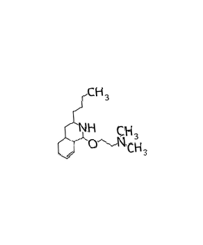 CCCCC1CC2CCC=CC2C(OCCN(C)C)N1